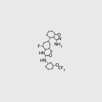 Nc1noc2cccc(-c3cc(F)c(NC(=O)Nc4cccc(OC(F)(F)F)c4)c(F)c3)c12